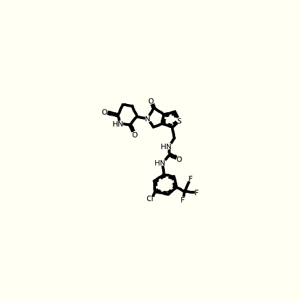 O=C1CCC(N2Cc3c(csc3CNC(=O)Nc3cc(Cl)cc(C(F)(F)F)c3)C2=O)C(=O)N1